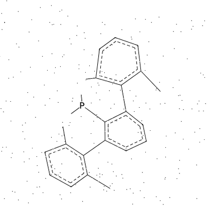 Cc1cccc(C)c1-c1cccc(-c2c(C)cccc2C)c1P(C)C